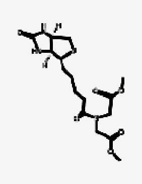 COC(=O)CN(CC(=O)OC)C(=O)CCCC[C@@H]1SC[C@@H]2NC(=O)N[C@@H]21